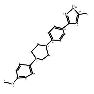 COc1ccc(N2CCN(c3ccc(-c4n[nH]c(C)n4)cc3)CC2)cc1